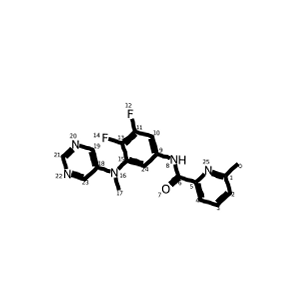 Cc1cccc(C(=O)Nc2cc(F)c(F)c(N(C)c3cncnc3)c2)n1